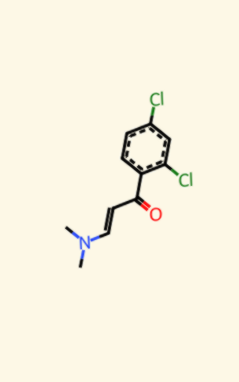 CN(C)/C=C/C(=O)c1ccc(Cl)cc1Cl